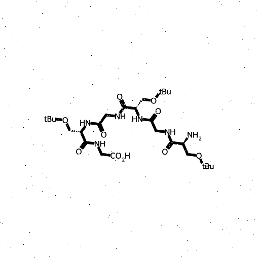 CC(C)(C)OC[C@H](NC(=O)CNC(=O)[C@H](COC(C)(C)C)NC(=O)CNC(=O)[C@@H](N)COC(C)(C)C)C(=O)NCC(=O)O